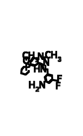 COc1cc2nc(C)nc(NCc3cc(N)cc(C(F)F)c3)c2cc1P1CCCCC1